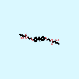 CCC=C(O)C(=O)OCCCOc1ccc(C(C)(C)c2ccc(OCCCOC(=O)C(O)=CCC)cc2)cc1